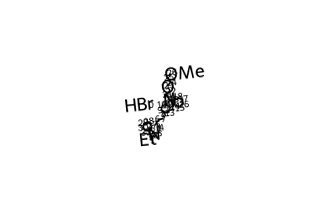 Br.CCN1CC=C(C=Cc2ccc3c(c2)c2ccccc2n3CCOCCOC)c2ccccc21